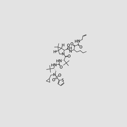 C=CCNC(=O)C(=O)C(CCCC)NC(=O)[C@@H]1[C@@H]2[C@H](CN1C(=O)[C@@H](NC(=O)N[C@H](CN(CC1CC1)S(=O)(=O)c1cccs1)C(C)(C)C)C(C)(C)C)C2(C)C